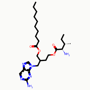 CCCCCCCCCC(=O)OCC(CCOC(=O)[C@@H](N)[C@@H](C)CC)Cn1cnc2cnc(N)nc21